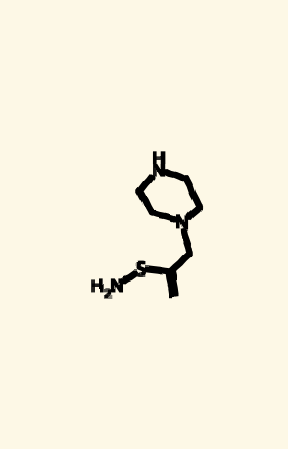 C=C(CN1CCNCC1)SN